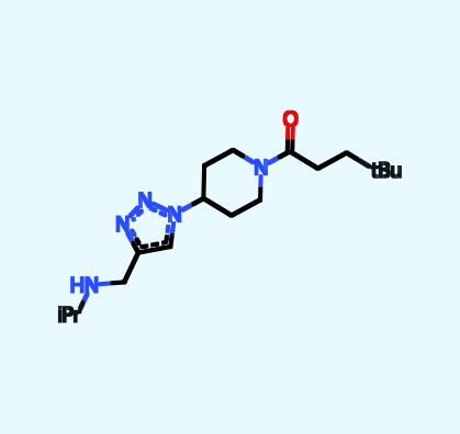 CC(C)NCc1cn(C2CCN(C(=O)CCC(C)(C)C)CC2)nn1